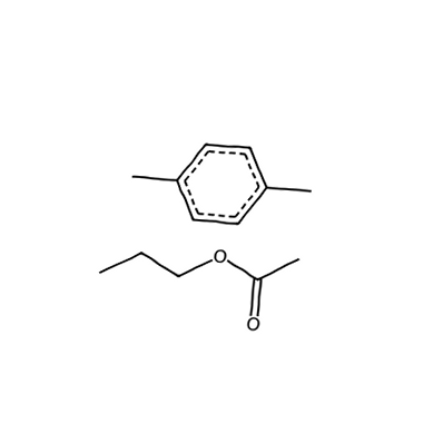 CCCOC(C)=O.Cc1ccc(C)cc1